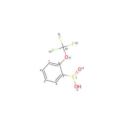 O=S(O)c1ccccc1OC(F)(F)F